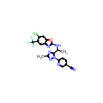 Cc1nc(C(C)Nc2nc3cc(C(F)(F)F)c(Cl)cc3o2)n(-c2ccc(C#N)cn2)n1